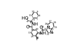 O=C(N[C@@H](CO)c1ccccc1)c1ccc(F)c(NC(=O)c2cnc3ccccn23)c1